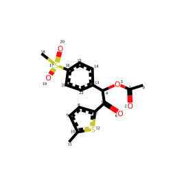 CC(=O)OC(C(=O)c1ccc(C)s1)c1ccc(S(C)(=O)=O)cc1